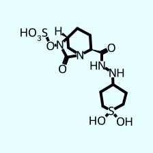 O=C(NNC1CCS(O)(O)CC1)[C@@H]1CC[C@@H]2CN1C(=O)N2OS(=O)(=O)O